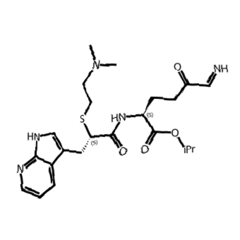 CC(C)OC(=O)[C@H](CCC(=O)C=N)NC(=O)[C@H](Cc1c[nH]c2ncccc12)SCCN(C)C